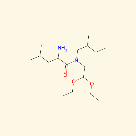 CCOC(CN(CC(C)CC)C(=O)C(N)CC(C)C)OCC